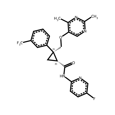 Cc1ncc(OC[C@@]2(c3cccc(C(F)(F)F)c3)C[C@H]2C(=O)Nc2ccc(F)cn2)c(C)n1